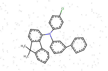 CC1(C)c2ccccc2-c2c(N(c3ccc(Cl)cc3)c3cccc(-c4ccccc4)c3)cccc21